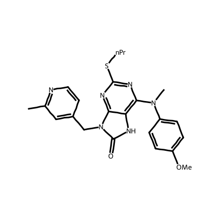 CCCSc1nc(N(C)c2ccc(OC)cc2)c2[nH]c(=O)n(Cc3ccnc(C)c3)c2n1